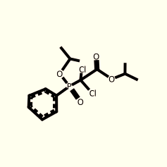 CC(C)OC(=O)C(Cl)(Cl)P(=O)(OC(C)C)c1ccccc1